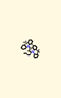 C=C/C=C\C1=C(C)B(N2c3ccccc3[Si](C)(C)c3cccc(C)c32)c2cccc3c2N1c1ccccc1C3(C)C